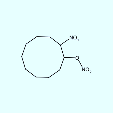 O=[N+]([O-])OC1CCCCCCCCC1[N+](=O)[O-]